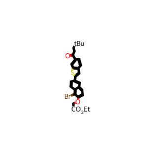 CCOC(=O)COc1ccc2cc(-c3cc4ccc(C(=O)CCC(C)(C)C)cc4s3)ccc2c1Br